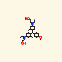 CCN(CCO)c1ccc(C(c2ccc(OC)cc2)c2ccc(N(CC)CCO)cc2C)c(C)c1